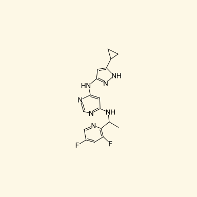 CC(Nc1cc(Nc2cc(C3CC3)[nH]n2)ncn1)c1ncc(F)cc1F